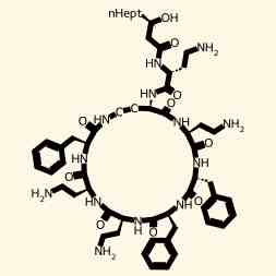 CCCCCCC[C@@H](O)CC(=O)N[C@H](CCN)C(=O)N[C@H]1CCNC(=O)[C@H](Cc2ccccc2)NC(=O)[C@H](CCN)NC(=O)[C@H](CCN)NC(=O)[C@H](Cc2ccccc2)NC(=O)[C@@H](Cc2ccccc2)NC(=O)[C@H](CCN)NC1=O